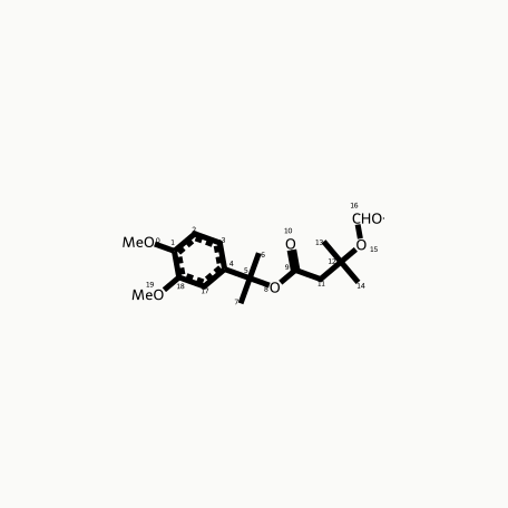 COc1ccc(C(C)(C)OC(=O)CC(C)(C)O[C]=O)cc1OC